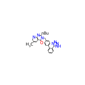 CCCCc1nc2ncc(C)cc2c(=O)n1Cc1ccc(-c2ccccc2-c2nnn[nH]2)cc1